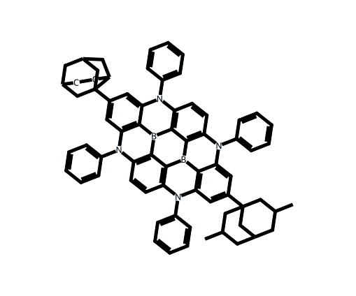 CC1CC2CC(C)CC(c3cc4c5c(c3)N(c3ccccc3)c3ccc6c7c3B5c3c(ccc5c3B7c3c(cc(C78CC9CCC7CC(C9)C8)cc3N6c3ccccc3)N5c3ccccc3)N4c3ccccc3)(C1)C2